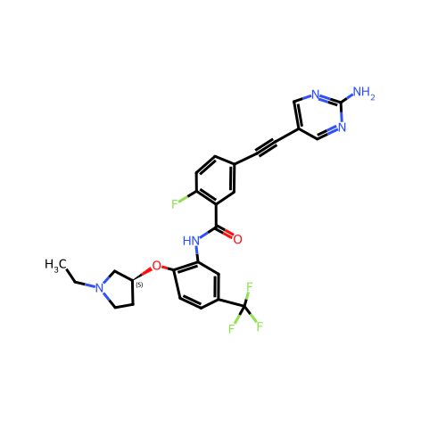 CCN1CC[C@H](Oc2ccc(C(F)(F)F)cc2NC(=O)c2cc(C#Cc3cnc(N)nc3)ccc2F)C1